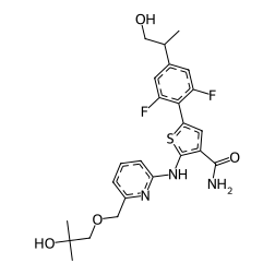 CC(CO)c1cc(F)c(-c2cc(C(N)=O)c(Nc3cccc(COCC(C)(C)O)n3)s2)c(F)c1